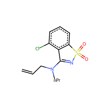 C=CCN(CCC)C1=NS(=O)(=O)c2cccc(Cl)c21